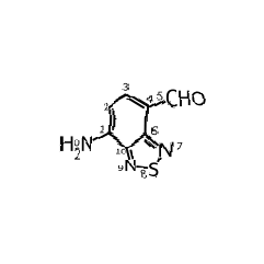 Nc1ccc(C=O)c2nsnc12